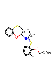 COCOc1c(C)cccc1SC[C@@H](C)C[C@H]1CSc2ccccc2OC1N